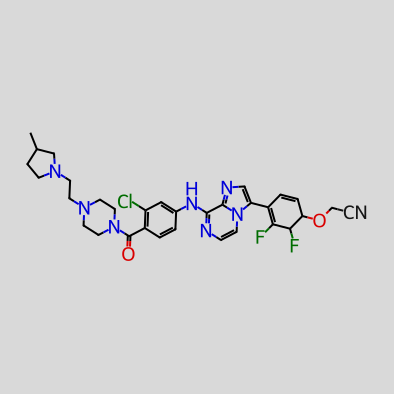 CC1CCN(CCN2CCN(C(=O)c3ccc(Nc4nccn5c(C6=C(F)C(F)C(OCC#N)C=C6)cnc45)cc3Cl)CC2)C1